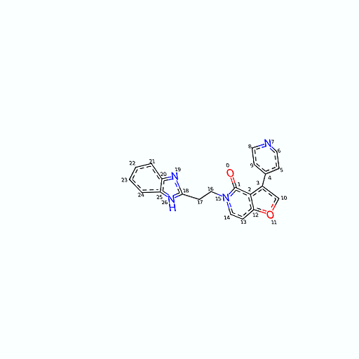 O=c1c2c(-c3ccncc3)coc2ccn1CCc1nc2ccccc2[nH]1